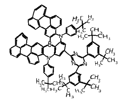 CC(C)(C)c1ccc(N2c3cc(-c4nc(-c5cc(C(C)(C)C)cc(C(C)(C)C)c5)nc(-c5cc(C(C)(C)C)cc(C(C)(C)C)c5)n4)cc4c3B(c3cc5c6cccc7cccc(c8cccc(c32)c85)c76)c2cc3c5cccc6cccc(c7cccc(c2N4c2ccc(C(C)(C)C)cc2)c73)c65)cc1